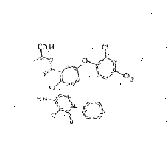 C[C@H](OC(=O)c1cc(Oc2ccc(C(F)(F)F)cc2Cl)ccc1Cl)C(=O)O.Nc1cnn(-c2ccccc2)c(=O)c1Cl